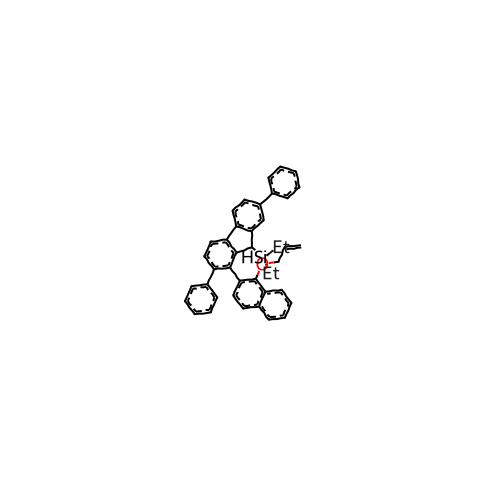 C=CCOc1c(-c2c(-c3ccccc3)ccc3c2C([SiH](CC)CC)c2cc(-c4ccccc4)ccc2-3)ccc2ccccc12